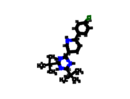 CC(C)(C)c1nc(-c2ccc(-c3ccc(Cl)cc3)nc2)nc(C(C)(C)C)n1